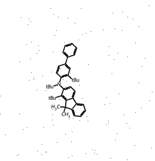 CC(C)(C)c1cc(-c2ccccc2)ccc1N(c1ccc2c(c1C(C)(C)C)C(C)(C)c1ccccc1-2)C(C)(C)C